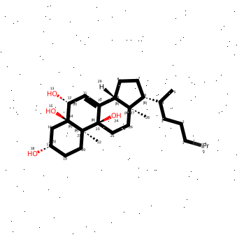 CC(C)CCCC(C)[C@H]1CC[C@H]2C3=C[C@@H](O)[C@@]4(O)C[C@@H](O)CC[C@]4(C)[C@@]3(O)CC[C@]12C